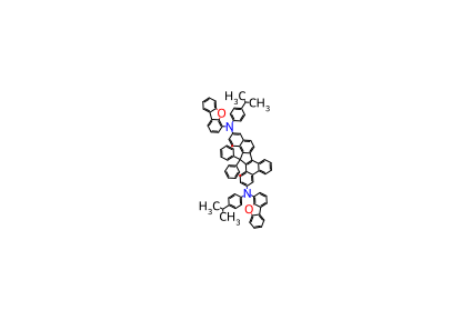 CC(C)c1ccc(N(c2ccc3c4c(ccc3c2)-c2c(c3ccc(N(c5ccc(C(C)C)cc5)c5cccc6c5oc5ccccc56)cc3c3ccccc23)C4(c2ccccc2)c2ccccc2)c2cccc3c2oc2ccccc23)cc1